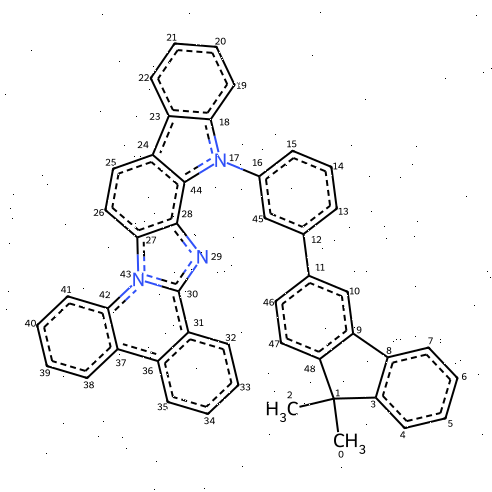 CC1(C)c2ccccc2-c2cc(-c3cccc(-n4c5ccccc5c5ccc6c(nc7c8ccccc8c8ccccc8n67)c54)c3)ccc21